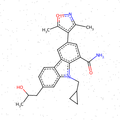 Cc1noc(C)c1-c1cc(C(N)=O)c2c(c1)c1ccc(CC(C)O)cc1n2CC1CC1